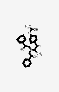 CC(O)Oc1ccc(CC(C)N(CC(O)c2ccccc2)CC(O)c2ccccc2)cc1.Cl